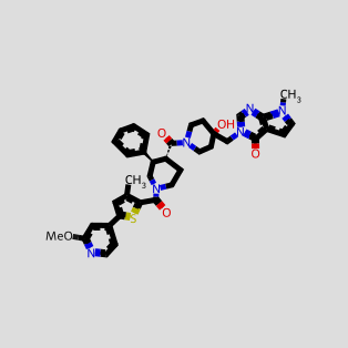 COc1cc(-c2cc(C)c(C(=O)N3CC[C@@H](C(=O)N4CCC(O)(Cn5cnc6c(ccn6C)c5=O)CC4)[C@H](c4ccccc4)C3)s2)ccn1